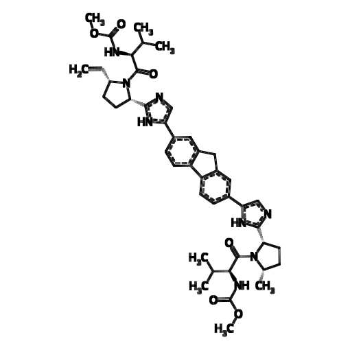 C=C[C@H]1CC[C@@H](c2ncc(-c3ccc4c(c3)Cc3cc(-c5cnc([C@@H]6CC[C@H](C)N6C(=O)[C@@H](NC(=O)OC)C(C)C)[nH]5)ccc3-4)[nH]2)N1C(=O)[C@@H](NC(=O)OC)C(C)C